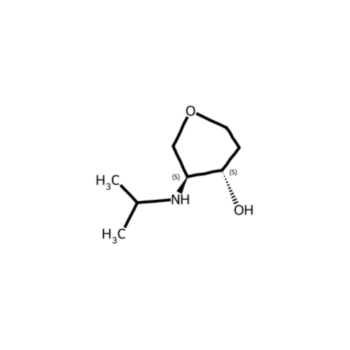 CC(C)N[C@H]1COCC[C@@H]1O